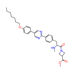 CCCCCCCOc1ccc(-c2cnc(-c3ccc(CC(NC)C(=O)N4CC(C(=O)OC)C4)cc3)nc2)cc1